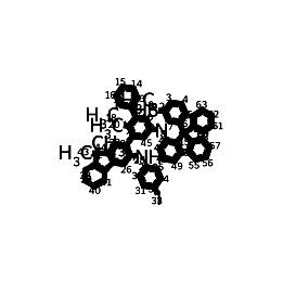 CBc1cccc2c1N(c1cc(-c3ccccc3C)c(C)c(-c3cc4c(cc3Nc3ccc(I)cc3)C3=C(CCC=C3)C4(C)C)c1)c1ccccc1C2(c1ccccc1)c1ccccc1